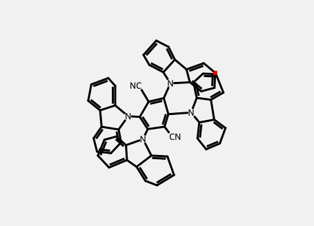 N#Cc1c(-n2c3ccccc3c3ccccc32)c(-n2c3ccccc3c3ccccc32)c(C#N)c(-n2c3ccccc3c3ccccc32)c1-n1c2ccccc2c2ccccc21